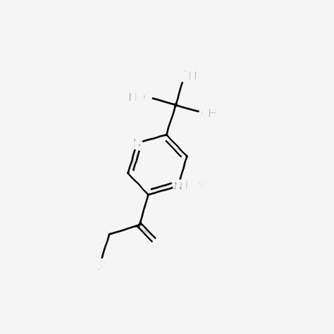 Br.CC(C)(C)c1cnc(C(=O)CBr)cn1